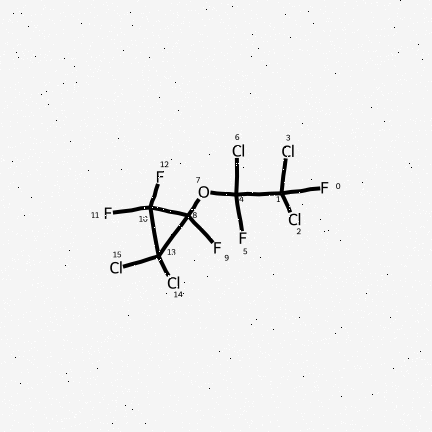 FC(Cl)(Cl)C(F)(Cl)OC1(F)C(F)(F)C1(Cl)Cl